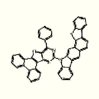 c1ccc(-c2nc(-n3c4ccccc4c4cc5ccc6c7ccccc7sc6c5cc43)nc3c2oc2c4ccccc4c4ccccc4c32)cc1